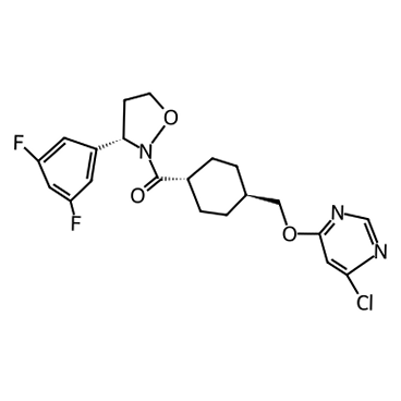 O=C([C@H]1CC[C@H](COc2cc(Cl)ncn2)CC1)N1OCC[C@H]1c1cc(F)cc(F)c1